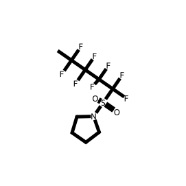 CC(F)(F)C(F)(F)C(F)(F)C(F)(F)S(=O)(=O)N1CCCC1